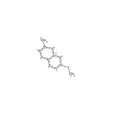 CCc1ccc2cnc(C)cc2c1